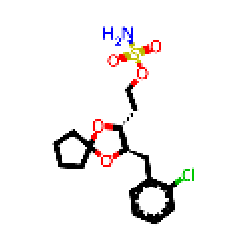 NS(=O)(=O)OCC[C@H]1OC2(CCCC2)O[C@@H]1Cc1ccccc1Cl